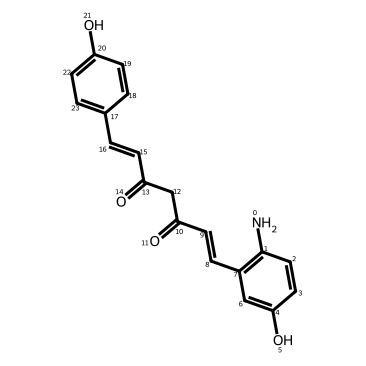 Nc1ccc(O)cc1/C=C/C(=O)CC(=O)/C=C/c1ccc(O)cc1